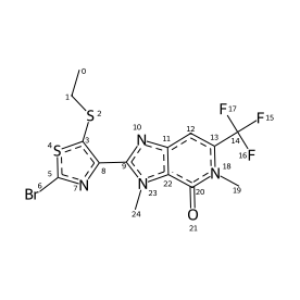 CCSc1sc(Br)nc1-c1nc2cc(C(F)(F)F)n(C)c(=O)c2n1C